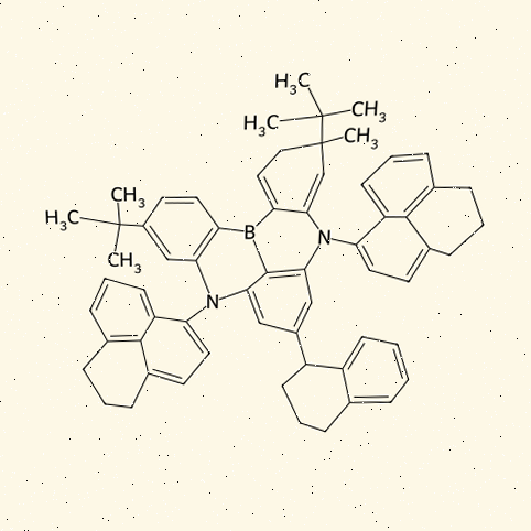 CC(C)(C)c1ccc2c(c1)N(c1ccc3c4c(cccc14)CCC3)c1cc(C3CCCc4ccccc43)cc3c1B2C1=CCC(C)(C(C)(C)C)C=C1N3c1ccc2c3c(cccc13)CCC2